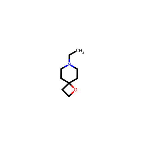 CCN1CCC2(CCO2)CC1